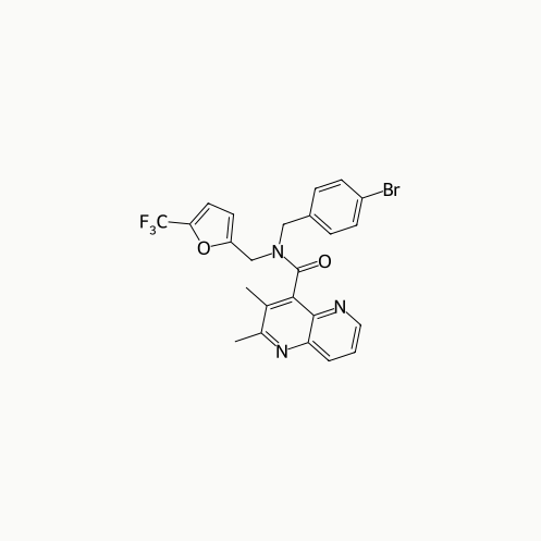 Cc1nc2cccnc2c(C(=O)N(Cc2ccc(Br)cc2)Cc2ccc(C(F)(F)F)o2)c1C